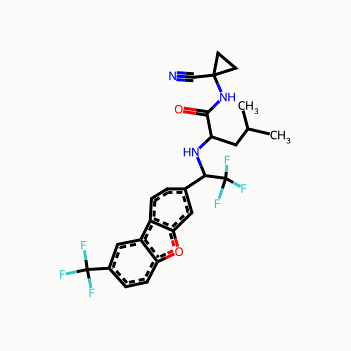 CC(C)CC(NC(c1ccc2c(c1)oc1ccc(C(F)(F)F)cc12)C(F)(F)F)C(=O)NC1(C#N)CC1